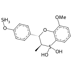 COc1cccc2c1O[C@@H](c1ccc(O[SiH3])cc1)[C@H](C)S2(O)O